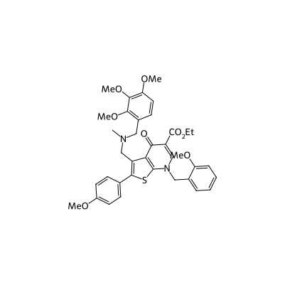 CCOC(=O)c1cn(Cc2ccccc2OC)c2sc(-c3ccc(OC)cc3)c(CN(C)Cc3ccc(OC)c(OC)c3OC)c2c1=O